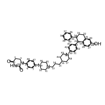 O=C1CCN(c2ccc(N3CCN(CCCC4CCN(c5ccc([C@@H]6c7ccc(O)cc7CC[C@@H]6c6ccccc6)cc5)CC4)CC3)cc2)C(=O)N1